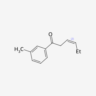 CC/C=C\CC(=O)c1cccc(C)c1